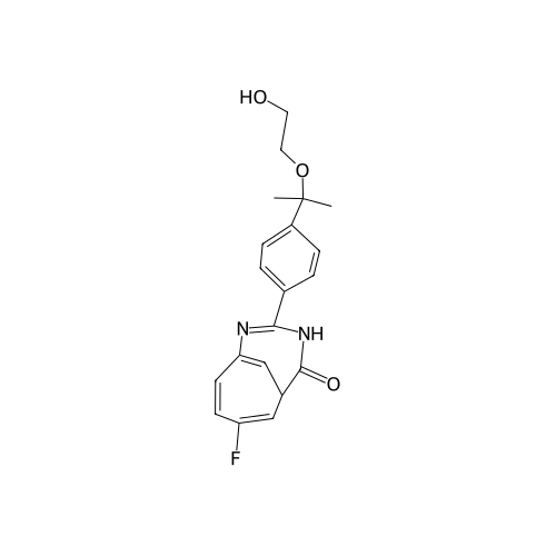 CC(C)(OCCO)c1ccc(C2=NC3=CC(C=C(F)C=C3)C(=O)N2)cc1